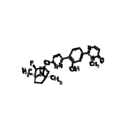 Cn1c(-c2ccc(-c3ccc(O[C@@H]4C[C@@]5(C)CC[C@](C)(N5)[C@H]4F)nn3)c(O)c2)nccc1=O